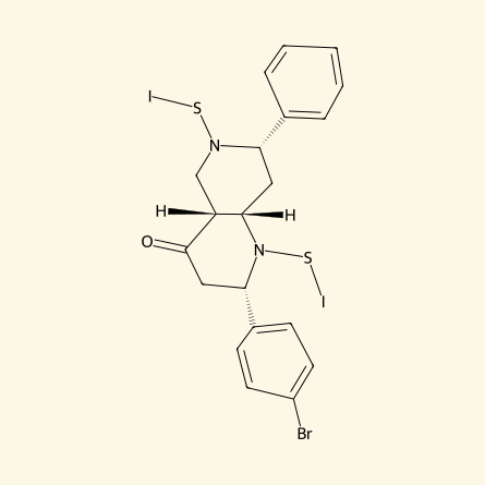 O=C1C[C@@H](c2ccc(Br)cc2)N(SI)[C@H]2C[C@@H](c3ccccc3)N(SI)C[C@@H]12